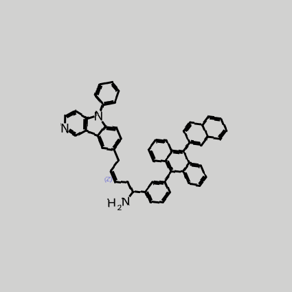 NC(C/C=C\Cc1ccc2c(c1)c1cnccc1n2-c1ccccc1)c1cccc(-c2c3ccccc3c(C3=CC4C=CC=CC4C=C3)c3ccccc23)c1